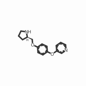 c1cncc(Oc2ccc(OC[C@H]3CCCN3)cc2)c1